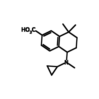 CN(C1CC1)C1CCC(C)(C)c2cc(C(=O)O)ccc21